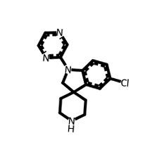 Clc1ccc2c(c1)C1(CCNCC1)CN2c1cnccn1